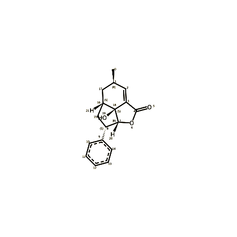 C[C@H]1C=C2C(=O)O[C@@H]3[C@H](c4ccccc4)C[C@H](C1)[C@]23O